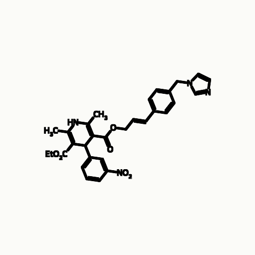 CCOC(=O)C1=C(C)NC(C)=C(C(=O)OC/C=C/c2ccc(Cn3ccnc3)cc2)C1c1cccc([N+](=O)[O-])c1